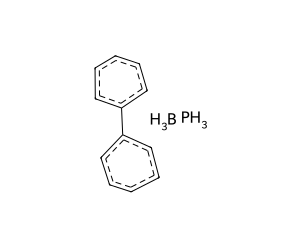 B.P.c1ccc(-c2ccccc2)cc1